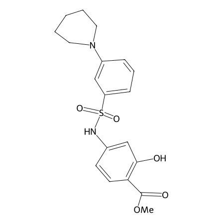 COC(=O)c1ccc(NS(=O)(=O)c2cccc(N3CCCCC3)c2)cc1O